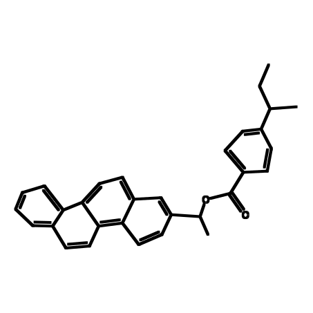 CCC(C)c1ccc(C(=O)OC(C)c2ccc3c(ccc4c5ccccc5ccc34)c2)cc1